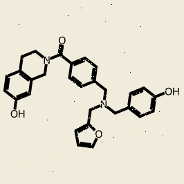 O=C(c1ccc(CN(Cc2ccc(O)cc2)Cc2ccco2)cc1)N1CCc2ccc(O)cc2C1